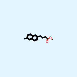 COC(=O)C[CH]Cc1ccc2cc(C)ccc2c1